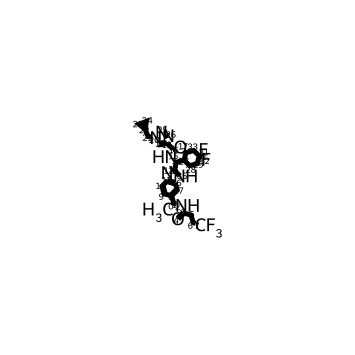 C[C@@H](NC(=O)CCC(F)(F)F)c1ccc2nc([C@@H](NC(=O)c3cn(CC4CC4)nn3)C3CCC(F)(F)CC3)[nH]c2c1